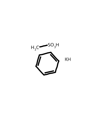 CS(=O)(=O)O.[KH].c1ccccc1